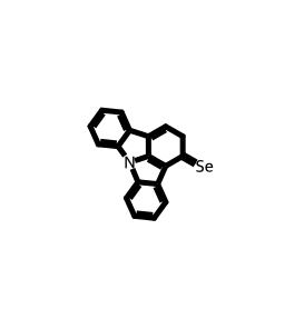 [Se]=C1CC=c2c3ccccc3n3c2c1c1ccccc13